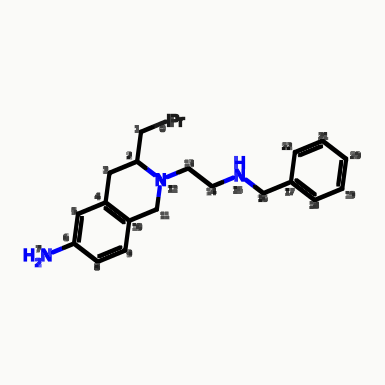 CC(C)CC1Cc2cc(N)ccc2CN1CCNCc1ccccc1